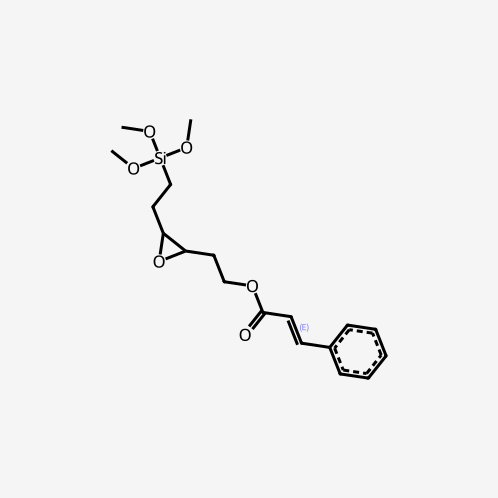 CO[Si](CCC1OC1CCOC(=O)/C=C/c1ccccc1)(OC)OC